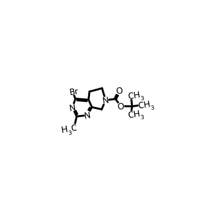 Cc1nc(Br)c2c(n1)CN(C(=O)OC(C)(C)C)CC2